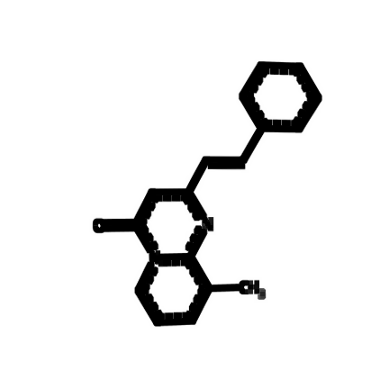 Cc1cccn2c(=O)cc(C=Cc3ccccc3)nc12